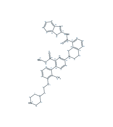 Cc1c(OCCC2CCNCC2)cccc1-c1ccc(N2CCc3cccc(C(=O)Nc4nc5ccccc5s4)c3C2)nc1C(=O)OC(C)(C)C